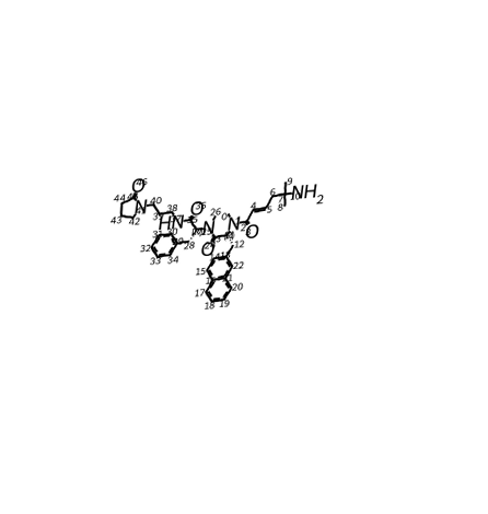 CN(C(=O)C=CCC(C)(C)N)[C@H](Cc1ccc2ccccc2c1)C(=O)N(C)[C@H](Cc1ccccc1)C(=O)NCCCN1CCCC1=O